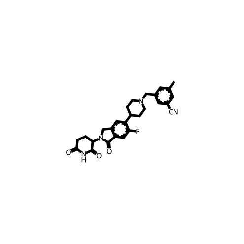 Cc1cc(C#N)cc(CN2CCC(c3cc4c(cc3F)C(=O)N(C3CCC(=O)NC3=O)C4)CC2)c1